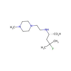 CN1CCN(CCN[C@@H](CC(C)(C)F)C(=O)O)CC1